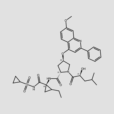 CCC1C[C@]1(NC(=O)[C@@H]1C[C@@H](Oc2cc(-c3ccccc3)nc3cc(OC)ccc23)CN1C(=O)[C@@H](O)CC(C)C)C(=O)NS(=O)(=O)C1CC1